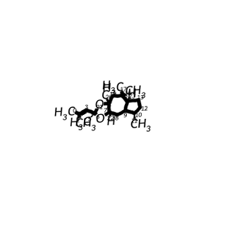 CC(C)=C[C@]1(C)O[C@H]2CC3[C@H](C)CC[C@H]3C(C)(C)C[C@@]2(C)O1